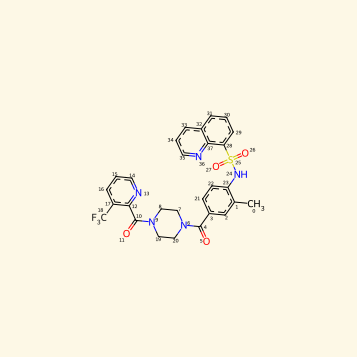 Cc1cc(C(=O)N2CCN(C(=O)c3ncccc3C(F)(F)F)CC2)ccc1NS(=O)(=O)c1cccc2cccnc12